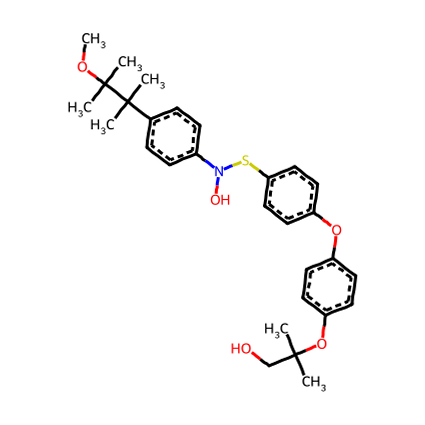 COC(C)(C)C(C)(C)c1ccc(N(O)Sc2ccc(Oc3ccc(OC(C)(C)CO)cc3)cc2)cc1